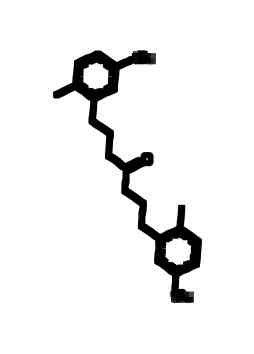 Cc1ccc(C(C)(C)C)cc1CCCC(=O)CCCc1cc(C(C)(C)C)ccc1C